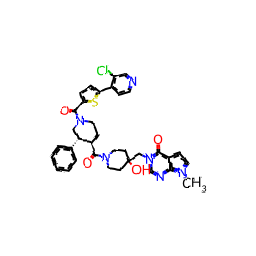 Cn1ccc2c(=O)n(CC3(O)CCN(C(=O)[C@@H]4CCN(C(=O)c5ccc(-c6ccncc6Cl)s5)C[C@H]4c4ccccc4)CC3)cnc21